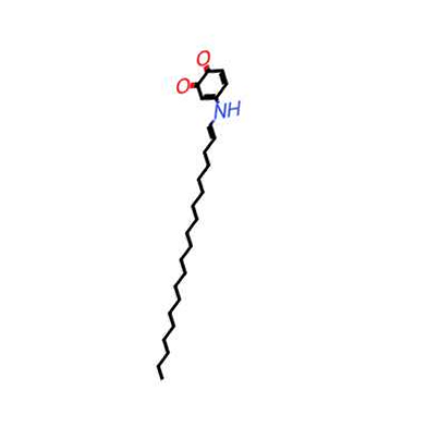 CCCCCCCCCCCCCCCCCCC=CNC1=CC(=O)C(=O)C=C1